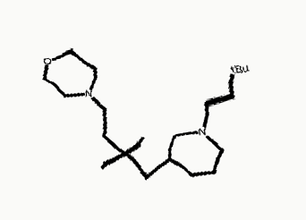 CC(C)(C)CCN1CCCC(CC(C)(C)CCN2CCOCC2)C1